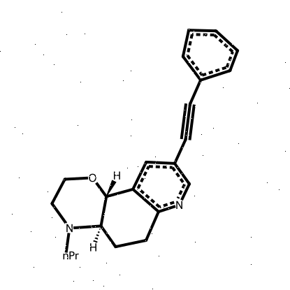 CCCN1CCO[C@@H]2c3cc(C#Cc4ccccc4)cnc3CC[C@H]21